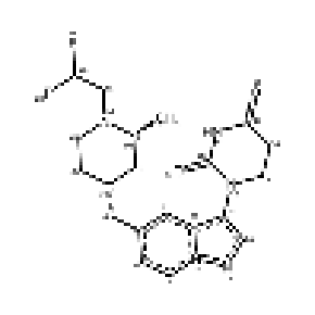 C[C@H]1C[C@H](Cc2ccn3ncc(N4CCC(=O)NC4=O)c3c2)CCN1CC(F)F